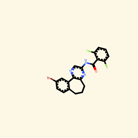 O=C(Nc1cnc2c(n1)CCCc1ccc(Br)cc1-2)c1c(F)cccc1F